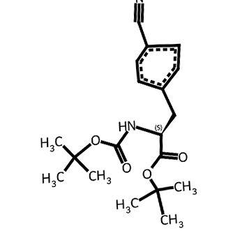 CC(C)(C)OC(=O)N[C@@H](Cc1ccc(C#N)cc1)C(=O)OC(C)(C)C